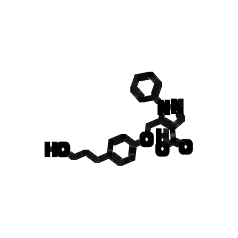 O=C(O)c1cnn(-c2ccccc2)c1COc1ccc(CCCO)cc1